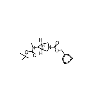 CN(C(=O)OC(C)(C)C)C1[C@H]2CN(C(=O)OCc3ccccc3)C[C@@H]12